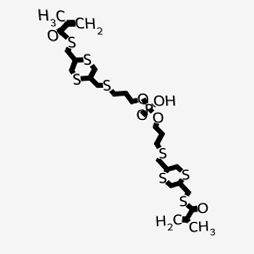 C=C(C)C(=O)SCC1CSC(CSCCCOP(=O)(O)OCCCSCC2CSC(CSC(=O)C(=C)C)CS2)CS1